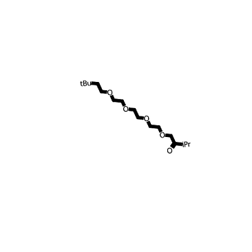 CC(C)C(=O)COCCOCCOCCOCCC(C)(C)C